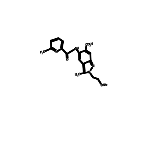 COCCn1nc2cc(C(=O)O)c(NC(=O)c3cccc(C(F)(F)F)n3)cc2c1C